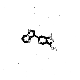 Cc1n[nH]c2cc(-c3cnn4cccnc34)ncc12